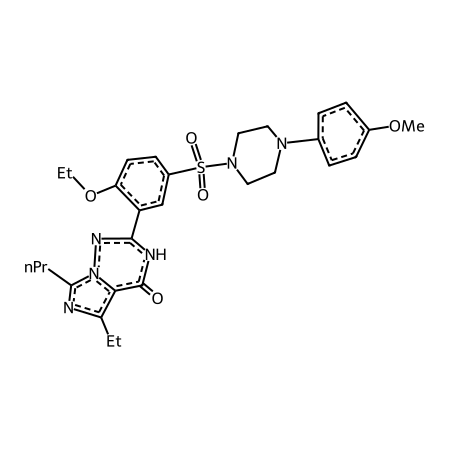 CCCc1nc(CC)c2c(=O)[nH]c(-c3cc(S(=O)(=O)N4CCN(c5ccc(OC)cc5)CC4)ccc3OCC)nn12